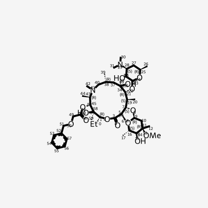 CC[C@H]1OC(=O)[C@H](C)[C@@H](O[C@H]2C[C@@](C)(OC)[C@@H](O)[C@H](C)O2)[C@H](C)[C@@H](O[C@@H]2O[C@H](C)C[C@H](N(C)C)[C@H]2O)[C@](C)(O)C[C@@H](C)CN(C)[C@H](C)[C@@H](OC(=O)COCc2ccccc2)[C@]1(C)O